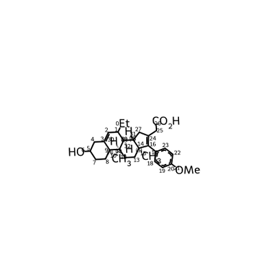 CCC1C=C2CC(O)CC[C@]2(C)[C@@H]2CC[C@]3(C)C(c4ccc(OC)cc4)=C(CC(=O)O)C[C@H]3[C@H]12